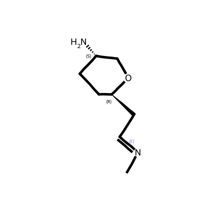 C/N=C/C[C@H]1CC[C@H](N)CO1